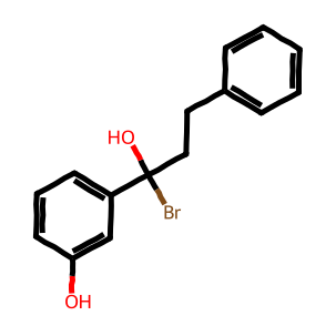 Oc1cccc(C(O)(Br)CCc2ccccc2)c1